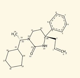 C=CC[C@]1(c2ccccc2)CCN([C@@H](C)C2CCCCC2)C(=O)N1